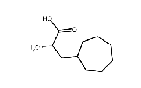 C[C@@H](CC1CCCCCC1)C(=O)O